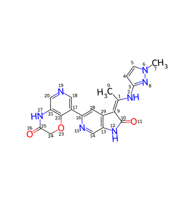 C/C(Nc1ccn(C)n1)=C1/C(=O)Nc2cnc(-c3cncc4c3OCC(=O)N4)cc21